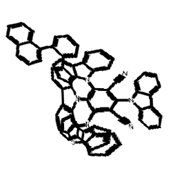 N#Cc1c(-n2c3ccccc3c3ccccc32)c(C#N)c(-n2c3ccccc3c3ccccc32)c(-n2c3cc(-c4ccccc4-c4cccc5ccccc45)ccc3c3ccc4oc5ccccc5c4c32)c1-n1c2ccccc2c2ccccc21